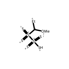 CCC(OC)S(=S)(=S)S(=S)(=S)S